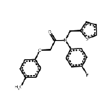 Cc1ccc(OCC(=O)N(Cc2cccs2)c2ccc(F)cc2)cc1